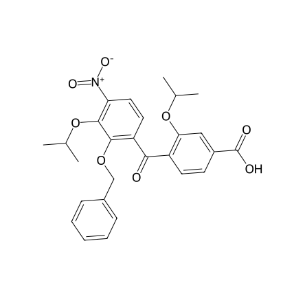 CC(C)Oc1cc(C(=O)O)ccc1C(=O)c1ccc([N+](=O)[O-])c(OC(C)C)c1OCc1ccccc1